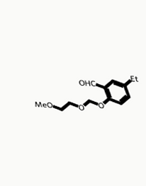 CCc1ccc(OCOCCOC)c(C=O)c1